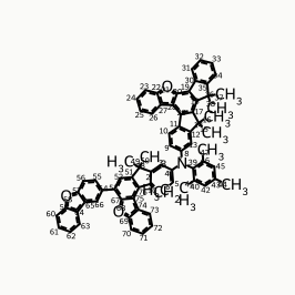 C=C1/C(=C\C(=C/C)N(c2ccc3c(c2)C(C)(C)c2c4c(c5oc6ccccc6c5c2-3)-c2ccccc2C4(C)C)c2c(C)cc(C)cc2C)C(C)(C)c2cc(-c3ccc4oc5ccccc5c4c3)c3oc4ccccc4c3c21